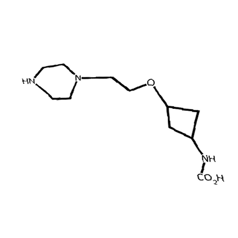 O=C(O)NC1CC(OCCN2CCNCC2)C1